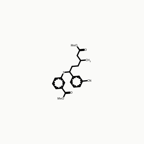 COC(=O)CC(C)CCC(Sc1cccc(C(=O)OC)c1)c1cccc(C#N)c1